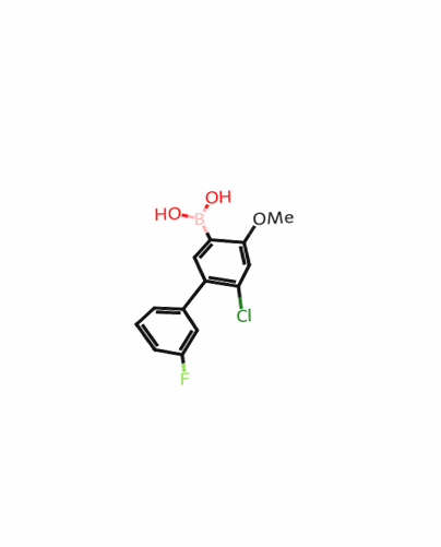 COc1cc(Cl)c(-c2cccc(F)c2)cc1B(O)O